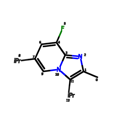 Cc1nc2c(F)cc(C(C)C)cn2c1C(C)C